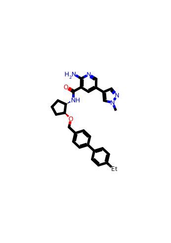 CCc1ccc(-c2ccc(CO[C@H]3CCC[C@@H]3NC(=O)c3cc(-c4cnn(C)c4)cnc3N)cc2)cc1